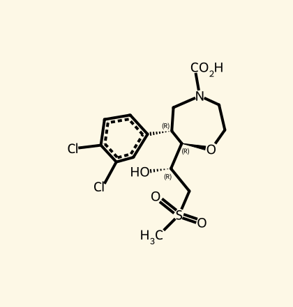 CS(=O)(=O)C[C@H](O)[C@@H]1OCCN(C(=O)O)C[C@H]1c1ccc(Cl)c(Cl)c1